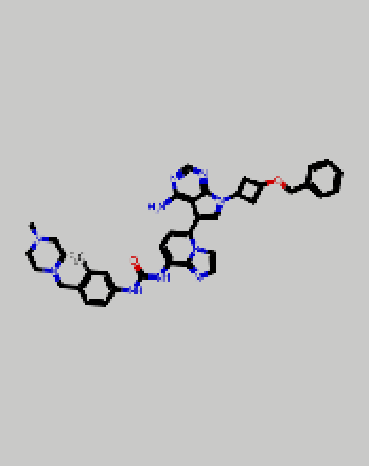 CN1CCN(Cc2ccc(NC(=O)Nc3ccc(-c4cn(C5CC(OCc6ccccc6)C5)c5ncnc(N)c45)n4ccnc34)cc2C(F)(F)F)CC1